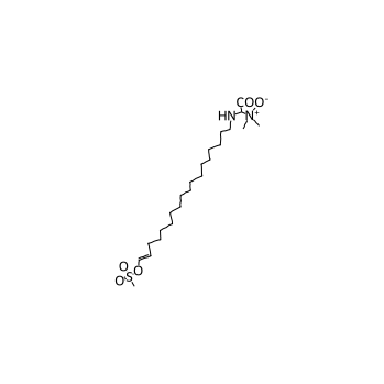 C[N+](C)(C)C(NCCCCCCCCCCCCCCCCC=COS(C)(=O)=O)C(=O)[O-]